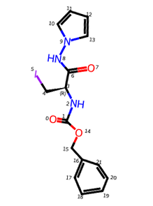 O=C(N[C@@H](CI)C(=O)Nn1cccc1)OCc1ccccc1